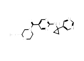 C[C@@H]1CN(C(=O)c2cnc(NC3(c4cncnc4)CC3)nc2)CCO1